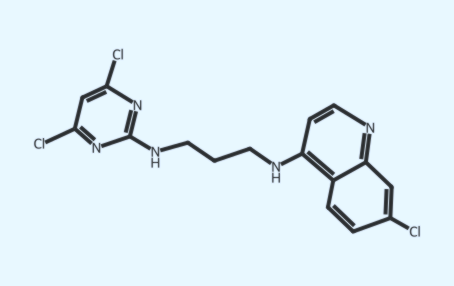 Clc1ccc2c(NCCCNc3nc(Cl)cc(Cl)n3)ccnc2c1